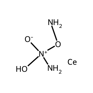 NO[N+](N)([O-])O.[Ce]